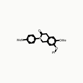 CNc1ccc(N2Cc3cc(OC(C)C)c(OC)cc3CC2=O)cc1